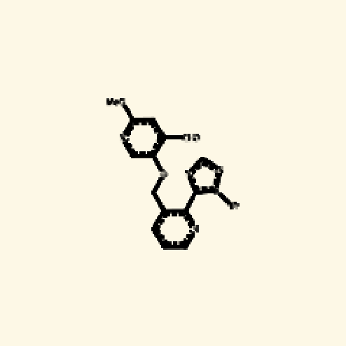 COc1cc(C=O)c(OCc2cccnc2-c2ncnn2C(C)C)cn1